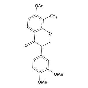 COc1ccc(C2COc3c(ccc(OC(C)=O)c3C)C2=O)cc1OC